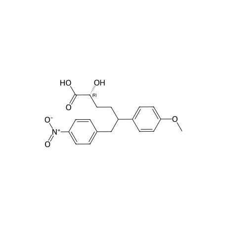 COc1ccc(C(CC[C@@H](O)C(=O)O)Cc2ccc([N+](=O)[O-])cc2)cc1